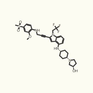 COc1cc(S(C)(=O)=O)ccc1NCC#Cc1cc2c(N[C@H]3CC[C@@H](N4CC[C@@H](O)C4)CC3)cccc2n1CC(F)(F)F